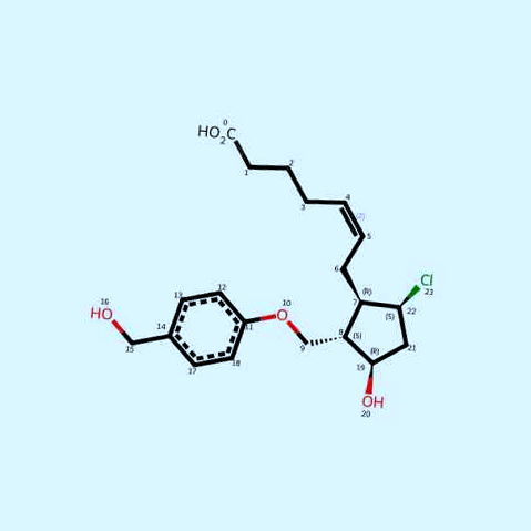 O=C(O)CCC/C=C\C[C@@H]1[C@@H](COc2ccc(CO)cc2)[C@H](O)C[C@@H]1Cl